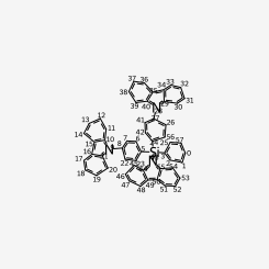 c1ccc([Si](c2ccc(-n3c4ccccc4c4ccccc43)cc2)(c2ccc(-n3c4ccccc4c4ccccc43)cc2)n2c3ccccc3c3ccccc32)cc1